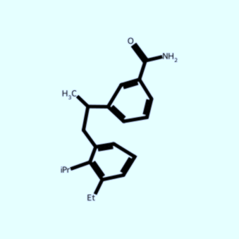 CCc1cccc(CC(C)c2cccc(C(N)=O)c2)c1C(C)C